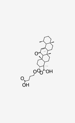 C[C@H]1CCC[C@]2(C)CC[C@]3(C)C(=CC(=O)C4[C@@]5(C)CC[C@@H](OOCCCC(=O)O)[C@](C)(C(=O)O)C5CC[C@]43C)C12